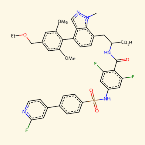 CCOCc1cc(OC)c(-c2ccc(CC(NC(=O)c3c(F)cc(NS(=O)(=O)c4ccc(-c5ccnc(F)c5)cc4)cc3F)C(=O)O)c3c2cnn3C)c(OC)c1